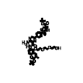 CN(Cc1cccc(NC(=O)c2nc(-c3ccc(S(=O)(=O)NC(C)(C)C(=O)OC(C)(C)C)cc3)cnc2N)c1OCCOCCOCCO)C(=O)OC(C)(C)C